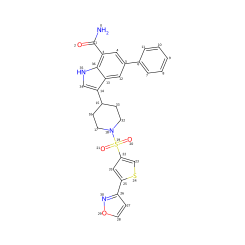 NC(=O)c1cc(-c2ccccc2)cc2c(C3CCN(S(=O)(=O)c4csc(-c5ccon5)c4)CC3)c[nH]c12